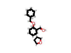 C1CCOC1.O=Cc1ccccc1OCc1ccccc1